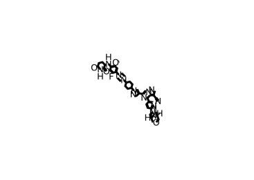 COc1cc(N2CCN(C3CCC(n4cc(-c5cn6ncc(C#N)c6c(-c6ccc(N7C[C@H]8COC[C@@H](C7)N8)nc6)n5)cn4)CC3)CC2)c(F)cc1NC1CCC(=O)NC1=O